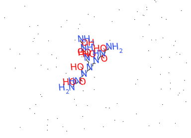 NCC(O)CNC(=O)CCN(CCO)CCCN(CCCN(CCO)CCC(=O)NCC(O)CN)CCCN(CCO)CCC(=O)NCC(O)CN